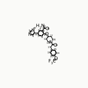 Cn1cncc1-c1ccc(OC2CCN(C(=O)Cc3ccc(OC(F)(F)F)cc3)CC2)c(C(N)=O)c1